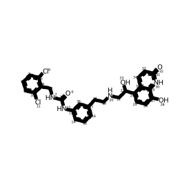 O=C(NCc1c(Cl)cccc1Cl)Nc1cccc(CCNCC(O)c2ccc(O)c3[nH]c(=O)ccc23)c1